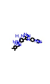 Cc1cc2cnc(Nc3ccc(-c4cn([C@H]5CC[C@@H](N6CCN(C)CC6)CC5)c5ncnc(N)c45)cc3)nc2cc1C